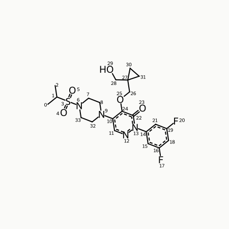 CC(C)S(=O)(=O)N1CCN(c2cnn(-c3cc(F)cc(F)c3)c(=O)c2OCC2(CO)CC2)CC1